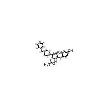 NC(=O)C[C@H](NC(=O)Cc1ccc(O)cc1O)C(=O)N1CCC(Cc2ccccc2)CC1